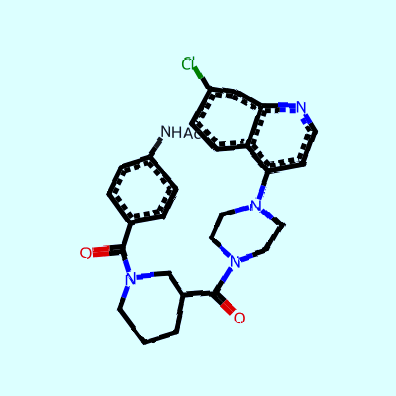 CC(=O)Nc1ccc(C(=O)N2CCCC(C(=O)N3CCN(c4ccnc5cc(Cl)ccc45)CC3)C2)cc1